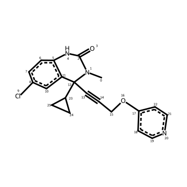 CN1C(=O)Nc2ccc(Cl)cc2C1(C#CCOc1ccncc1)C1CC1